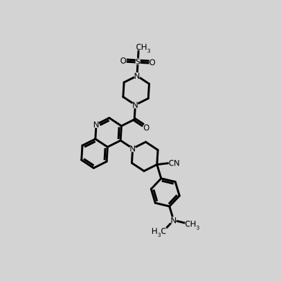 CN(C)c1ccc(C2(C#N)CCN(c3c(C(=O)N4CCN(S(C)(=O)=O)CC4)cnc4ccccc34)CC2)cc1